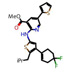 COC(=O)c1cc(-c2cccs2)cnc1Nc1cc(C2=CCC(F)(F)CC2)c(CC(C)C)s1